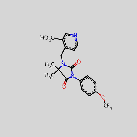 CC1(C)C(=O)N(c2ccc(OC(F)(F)F)cc2)C(=O)N1Cc1ccncc1C(=O)O